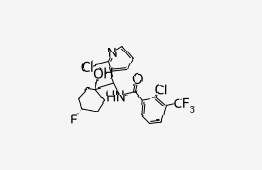 O=C(NC(c1cccnc1Cl)[C@]1(O)CC[C@H](F)CC1)c1cccc(C(F)(F)F)c1Cl